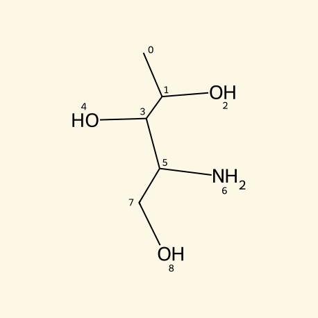 CC(O)C(O)C(N)CO